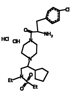 CCN(CC(C1CCCC1)N1CCN(C(=O)C(N)Cc2ccc(Cl)cc2)CC1)S(=O)(=O)CC.Cl.Cl